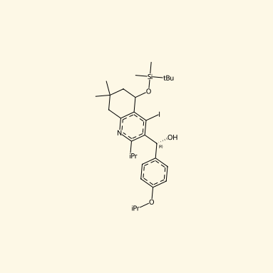 CC(C)Oc1ccc([C@@H](O)c2c(C(C)C)nc3c(c2I)C(O[Si](C)(C)C(C)(C)C)CC(C)(C)C3)cc1